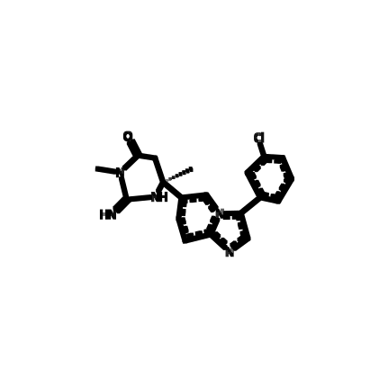 CN1C(=N)N[C@](C)(c2ccc3ncc(-c4cccc(Cl)c4)n3c2)CC1=O